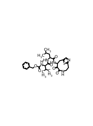 CC(C)CC(NC(=O)C(NC(=O)OCc1ccccc1)C(C)C)C(=O)NC1Cc2cnc(s2)CCNC(=O)C1=O